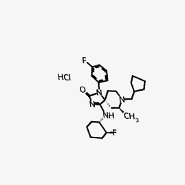 C[C@H]1C[C@]2(CCN1CC1CCCC1)C(N[C@H]1CCCC[C@@H]1F)=NC(=O)N2c1cccc(F)c1.Cl